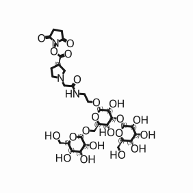 O=C(CN1CC[C@@H](C(=O)ON2C(=O)CCC2=O)C1)NCCO[C@H]1O[C@H](CO[C@H]2O[C@H](CO)[C@@H](O)[C@H](O)[C@@H]2O)[C@@H](O)[C@H](O[C@H]2O[C@H](CO)[C@@H](O)[C@H](O)[C@@H]2O)[C@@H]1O